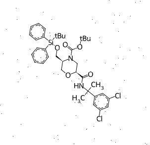 CC(C)(C)OC(=O)N1C[C@@H](C(=O)NC(C)(C)c2cc(Cl)cc(Cl)c2)OC[C@H]1CO[Si](c1ccccc1)(c1ccccc1)C(C)(C)C